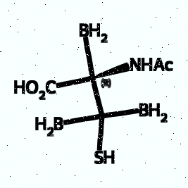 BC(B)(S)[C@](B)(NC(C)=O)C(=O)O